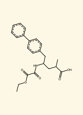 CCOC(=O)C(=O)NC(Cc1ccc(-c2ccccc2)cc1)CC(C)C(=O)O